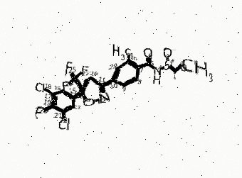 CC[S+]([O-])NC(=O)c1ccc(C2=NOC(c3cc(Cl)c(F)c(Cl)c3)(C(F)(F)F)C2)cc1C